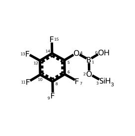 OB(O[SiH3])Oc1c(F)c(F)c(F)c(F)c1F